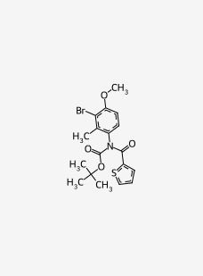 COc1ccc(N(C(=O)OC(C)(C)C)C(=O)c2cccs2)c(C)c1Br